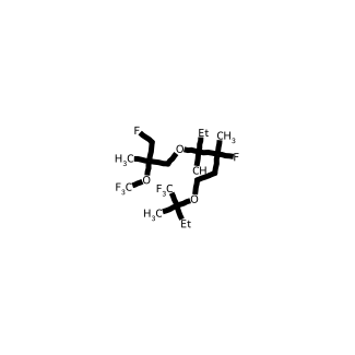 CCC(C)(OCCC(C)(F)C(C)(CC)OCC(C)(CF)OC(F)(F)F)C(F)(F)F